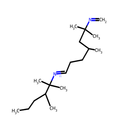 C=NC(C)(C)CC(C)CC/C=N/C(C)(C)C(C)CCC